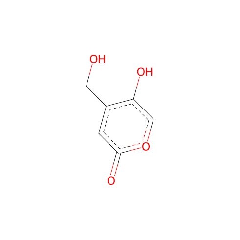 O=c1cc(CO)c(O)co1